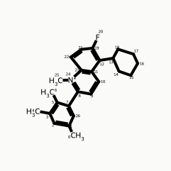 Cc1cc(C)c(C)c(-c2ccc3c(C4CCCCC4)c(F)ccc3[n+]2C)c1